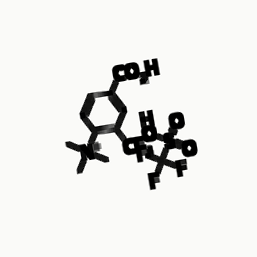 C[N+](C)(C)c1ccc(C(=O)O)cc1C(F)(F)F.O=S(=O)(O)C(F)(F)F